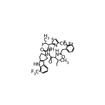 CCOC(=O)c1csc([C@@H](NC(=O)[C@@]2(NC(=O)[C@@H](NC(=O)Cc3ccccc3F)[C@@H](C)I)CCc3[nH]c4c(C(F)(F)F)cccc4c3C2)[C@@H](C)I)n1